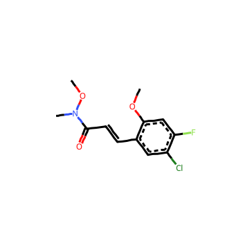 COc1cc(F)c(Cl)cc1C=CC(=O)N(C)OC